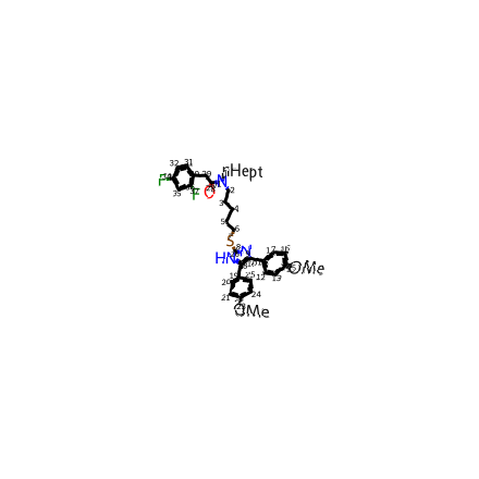 CCCCCCCN(CCCCCSc1nc(-c2ccc(OC)cc2)c(-c2ccc(OC)cc2)[nH]1)C(=O)Cc1ccc(F)cc1F